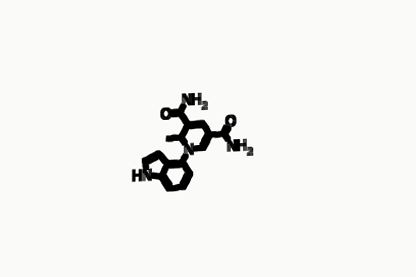 CC1C(C(N)=O)=CC(C(N)=O)=CN1c1cccc2[nH]ccc12